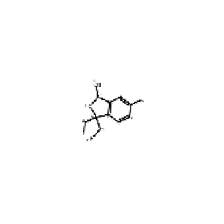 Cc1ccc2c(c1)B(O)OC2(CF)CF